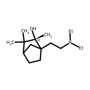 CCN(CC)CCC12CCC(C1)C(C)(C)[C@]2(C)O